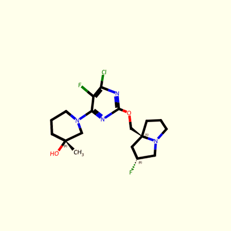 C[C@@]1(O)CCCN(c2nc(OC[C@@]34CCCN3C[C@H](F)C4)nc(Cl)c2F)C1